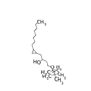 CCCCCCCCC1CC1CC(O)CCO[Si](C)(C)C(C)(C)C